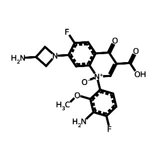 COc1c([N+]2([O-])C=C(C(=O)O)C(=O)c3cc(F)c(N4CC(N)C4)cc32)ccc(F)c1N